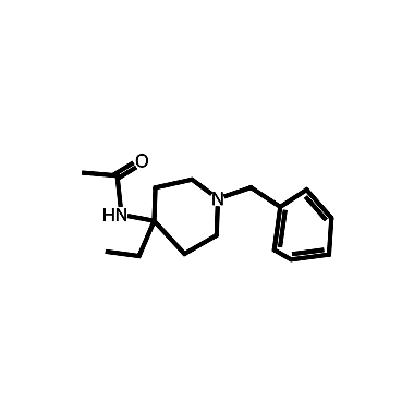 CCC1(NC(C)=O)CCN(Cc2ccccc2)CC1